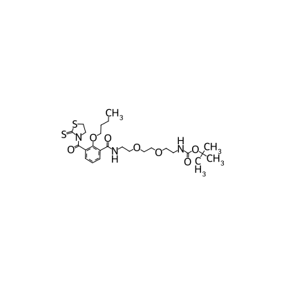 CCCCOc1c(C(=O)NCCOCCOCCNC(=O)OC(C)(C)C)cccc1C(=O)N1CCSC1=S